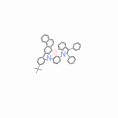 CC(C)(C)c1ccc2c3cc4c(ccc5ccccc54)c4c3n(c2c1)-c1cccc2c1B4c1cccc3c(-c4ccccc4)c(-c4ccccc4)n-2c13